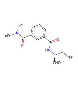 CCCN(CCC)C(=O)c1cccc(C(=O)N[C@H](C=O)CC(C)C)c1